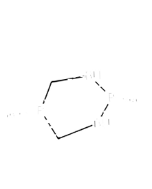 C[P@]1BC[P@](C)CB1